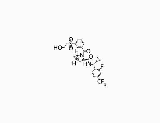 O=C(NC(c1ccc(C(F)(F)F)cc1F)C1CC1)[C@H]1C[C@H]2C[C@H]2N1C(=O)c1cccc(S(=O)(=O)CCO)c1